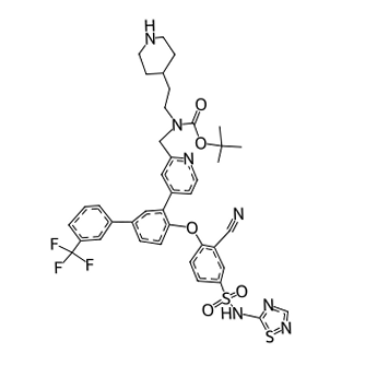 CC(C)(C)OC(=O)N(CCC1CCNCC1)Cc1cc(-c2cc(-c3cccc(C(F)(F)F)c3)ccc2Oc2ccc(S(=O)(=O)Nc3ncns3)cc2C#N)ccn1